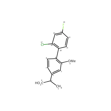 COc1cc(C(C)C(=O)O)ccc1-c1ccc(F)cc1Cl